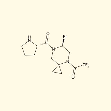 CC[C@H]1CN(C(=O)C(F)(F)F)C2(CC2)CN1C(=O)[C@@H]1CCCN1